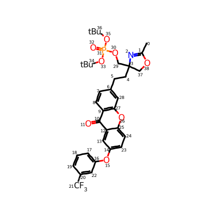 CC1=NC(CCc2ccc3c(=O)c4cc(Oc5cccc(C(F)(F)F)c5)ccc4oc3c2)(COP(=O)(OC(C)(C)C)OC(C)(C)C)CO1